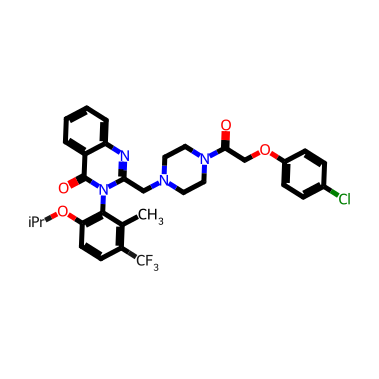 Cc1c(C(F)(F)F)ccc(OC(C)C)c1-n1c(CN2CCN(C(=O)COc3ccc(Cl)cc3)CC2)nc2ccccc2c1=O